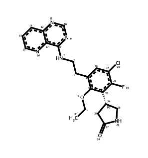 CCOc1c(CCNc2ncnc3cccnc23)cc(Cl)c(F)c1[C@@H]1CNC(=O)C1